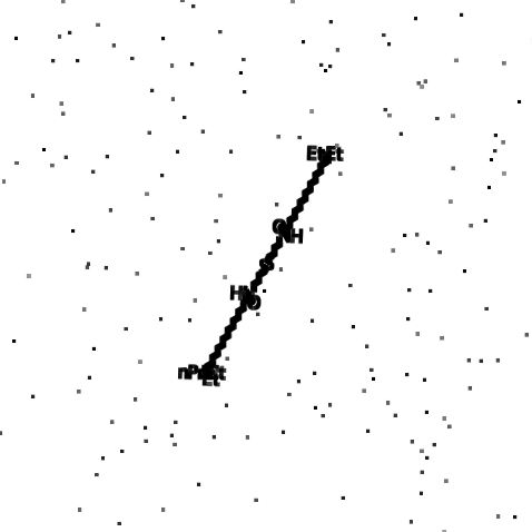 CCC[N+](CC)(CC)CCCCCCCCCCCCCCCC(=O)NCCCCCSSCCCCCNC(=O)CCCCCCCCCCCCCCCN(CC)CC